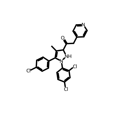 CC1=C(c2ccc(Cl)cc2)N(c2ccc(Cl)cc2Cl)NC1C(=O)Cc1ccncc1